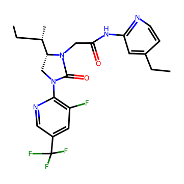 CCc1ccnc(NC(=O)CN2C(=O)N(c3ncc(C(F)(F)F)cc3F)C[C@@H]2[C@@H](C)CC)c1